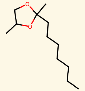 CCCCCCCC1(C)OCC(C)O1